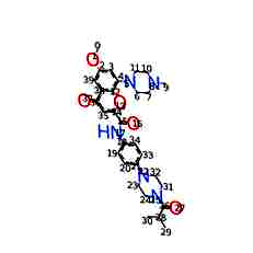 COc1cc(N2CCN(C)CC2)c2oc(C(=O)Nc3ccc(N4CCN(C(=O)C(C)C)CC4)cc3)cc(=O)c2c1